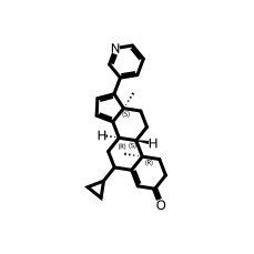 C[C@]12CC[C@H]3[C@@H](CC(C4CC4)C4=CC(=O)CC[C@@]43C)C1=CC=C2c1cccnc1